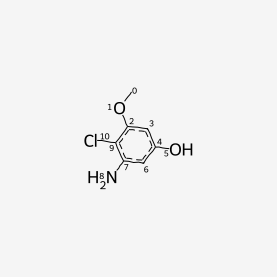 COc1cc(O)cc(N)c1Cl